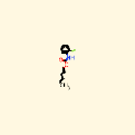 CCCCCCOC(=O)Nc1ccccc1F